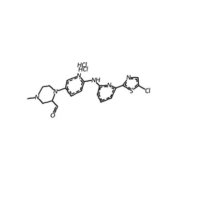 CN1CCN(c2ccc(Nc3cccc(-c4ncc(Cl)s4)n3)nc2)C(C=O)C1.Cl.Cl